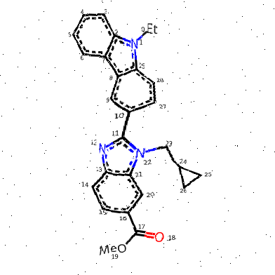 CCn1c2ccccc2c2cc(-c3nc4ccc(C(=O)OC)cc4n3CC3CC3)ccc21